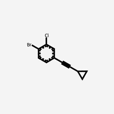 Clc1cc(C#CC2CC2)ccc1Br